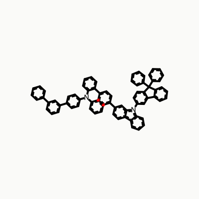 c1ccc(-c2cccc(-c3ccc(N(c4ccccc4)c4ccccc4-c4ccc(-c5ccc6c7ccccc7n(-c7ccc8c(c7)-c7ccccc7C8(c7ccccc7)c7ccccc7)c6c5)cc4)cc3)c2)cc1